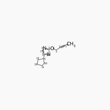 CC#CCOc1nsc(C2CCCC2)n1